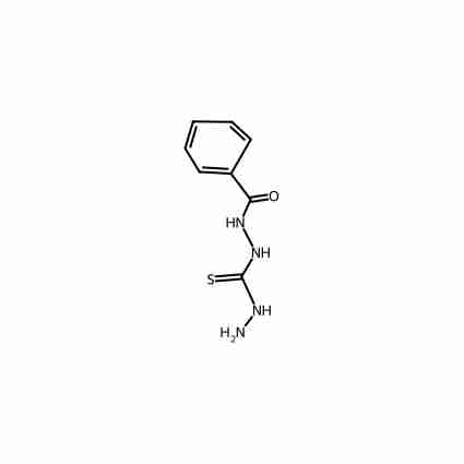 NNC(=S)NNC(=O)c1ccccc1